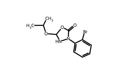 CC(C)OC1NN(c2ccccc2Br)C(=O)O1